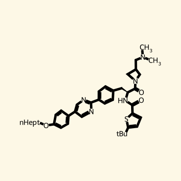 CCCCCCCOc1ccc(-c2cnc(-c3ccc(C[C@H](NC(=O)c4ccc(C(C)(C)C)s4)C(=O)N4CC(CN(C)C)C4)cc3)nc2)cc1